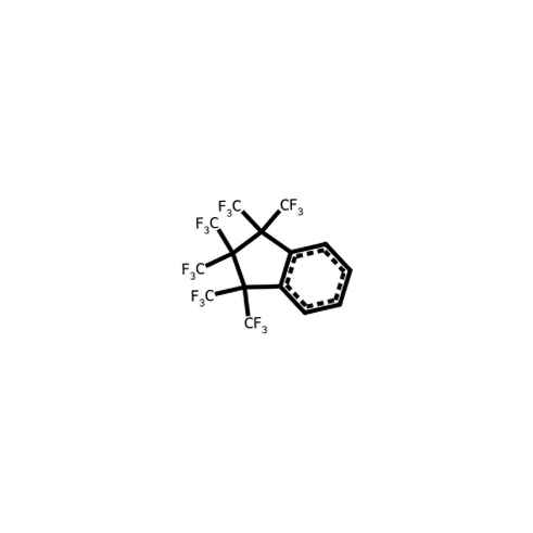 FC(F)(F)C1(C(F)(F)F)c2ccccc2C(C(F)(F)F)(C(F)(F)F)C1(C(F)(F)F)C(F)(F)F